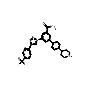 NC(=O)c1cc(-c2ccc(C3CCNCC3)cc2)cc(-n2cc(-c3ccc(C(F)(F)F)cc3)nn2)c1